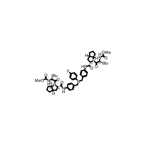 COC(=O)N[C@H](C(=O)N1[C@H](C(=O)Nc2ccc(CN(Cc3ccc(NC(=O)[C@@H]4C[C@@H]5CCC[C@@H]5N4C(=O)[C@@H](NC(=O)OC)C(C)(C)C)cc3)c3ccc(F)cc3)cc2)C[C@@H]2CCC[C@@H]21)C(C)(C)C